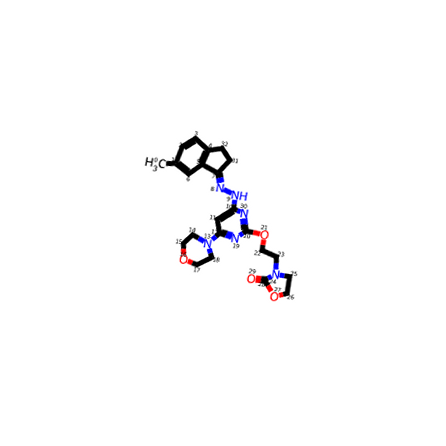 Cc1ccc2c(c1)C(=NNc1cc(N3CCOCC3)nc(OCCN3CCOC3=O)n1)CC2